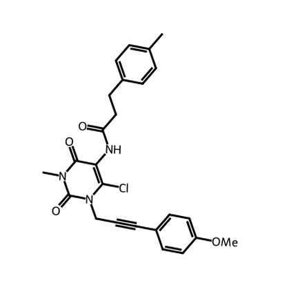 COc1ccc(C#CCn2c(Cl)c(NC(=O)CCc3ccc(C)cc3)c(=O)n(C)c2=O)cc1